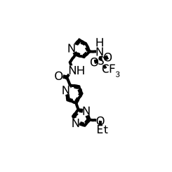 CCOc1cncc(-c2ccc(C(=O)NCc3cc(NS(=O)(=O)C(F)(F)F)ccn3)nc2)n1